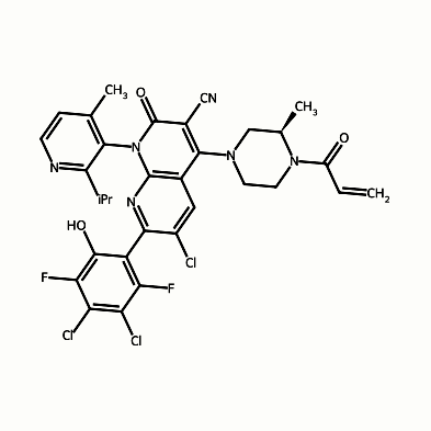 C=CC(=O)N1CCN(c2c(C#N)c(=O)n(-c3c(C)ccnc3C(C)C)c3nc(-c4c(O)c(F)c(Cl)c(Cl)c4F)c(Cl)cc23)C[C@H]1C